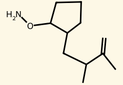 C=C(C)C(C)CC1CCCC1ON